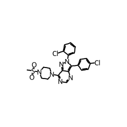 CS(=O)(=O)N1CCN(c2ncnc3c(-c4ccc(Cl)cc4)n(-c4ccccc4Cl)nc23)CC1